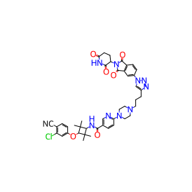 CC1(C)C(NC(=O)c2ccc(N3CCN(CCCc4cn(-c5ccc6c(c5)C(=O)N(C5CCC(=O)NC5=O)C6=O)nn4)CC3)nc2)C(C)(C)C1Oc1ccc(C#N)c(Cl)c1